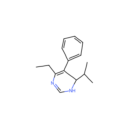 CCC1=C(c2ccccc2)C(C(C)C)NC=N1